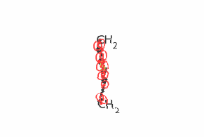 C=CC(=O)OCCCCCCOc1ccc(C(=O)Oc2ccc(S(=O)(=O)c3ccc(OC(=O)c4ccc(OC(=O)C=C)cc4)cc3)cc2)cc1